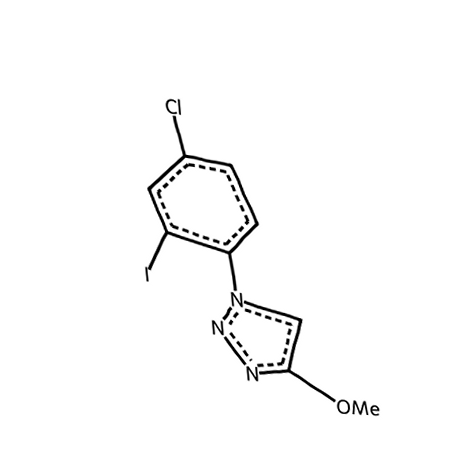 COc1cn(-c2ccc(Cl)cc2I)nn1